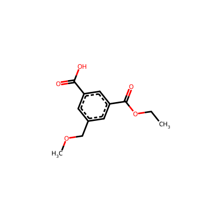 CCOC(=O)c1cc(COC)cc(C(=O)O)c1